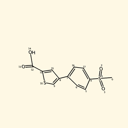 CS(=O)(=O)c1ccc(-c2csc(C(=O)O)c2)cc1